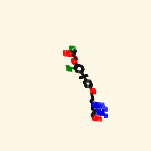 CC(C)(c1ccc(OCCCN(N)/C=C(\N)CO)cc1)c1ccc(OCC(O)CCl)c(Br)c1